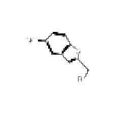 N#Cc1ccc2sc(CBr)cc2c1